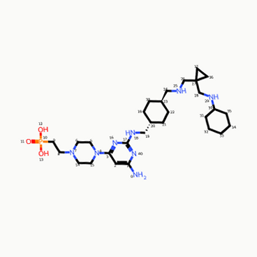 Nc1cc(N2CCN(CCP(=O)(O)O)CC2)nc(NC[C@H]2CC[C@H](CNCC3(CNC4CCCCC4)CC3)CC2)n1